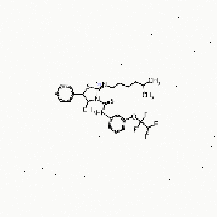 CC(C)CCCC/N=C1/SC(c2ccccc2)C(C)N1C(=S)Nc1cccc(OC(F)(F)C(F)F)c1